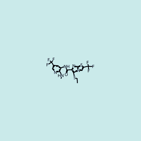 CCSc1c(C(=O)Nc2cc(C(F)(F)F)cnc2NC)nc2sc(C(F)(F)F)cn12